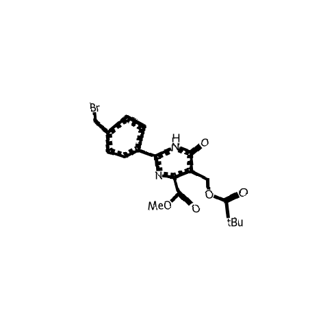 COC(=O)c1nc(-c2ccc(CBr)cc2)[nH]c(=O)c1COC(=O)C(C)(C)C